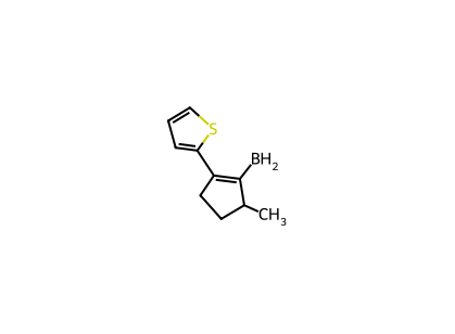 BC1=C(c2cccs2)CCC1C